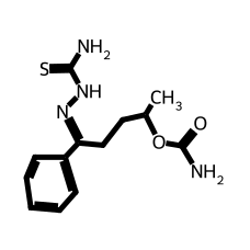 CC(CCC(=NNC(N)=S)c1ccccc1)OC(N)=O